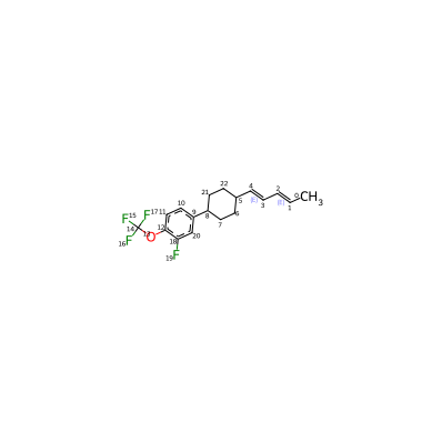 C/C=C/C=C/C1CCC(c2ccc(OC(F)(F)F)c(F)c2)CC1